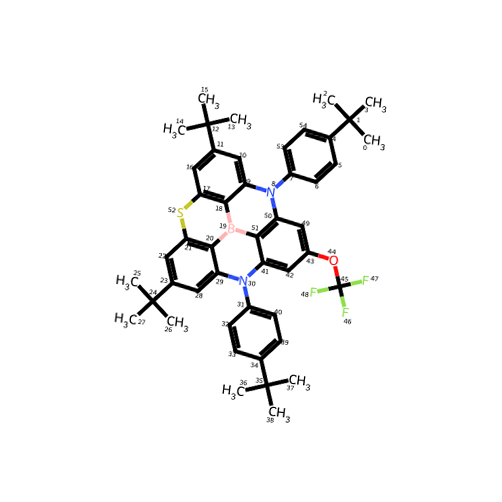 CC(C)(C)c1ccc(N2c3cc(C(C)(C)C)cc4c3B3c5c(cc(C(C)(C)C)cc5N(c5ccc(C(C)(C)C)cc5)c5cc(OC(F)(F)F)cc2c53)S4)cc1